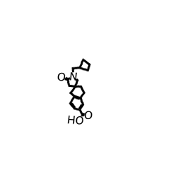 O=C(O)c1ccc2c(c1)CCC1(CC(=O)N(CC3CCC3)C1)C2